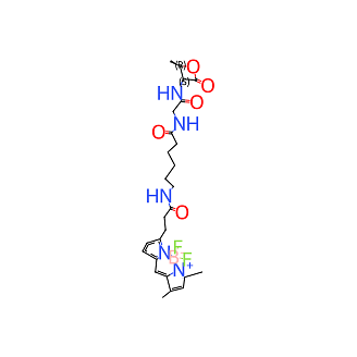 CC1=CC(C)=[N+]2C1=Cc1ccc(CCC(=O)NCCCCCC(=O)NCC(=O)N[C@@H]3C(=O)O[C@@H]3C)n1[B-]2(F)F